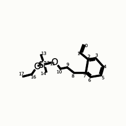 C=Cc1ccccc1CCCO[Si](C)(C)OCC